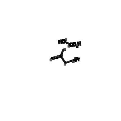 C=C(C)CC(C)C.O=C(O)O